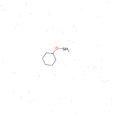 [SiH2]OC1CCCCC1